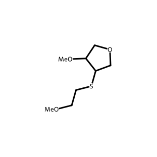 COCCSC1COCC1OC